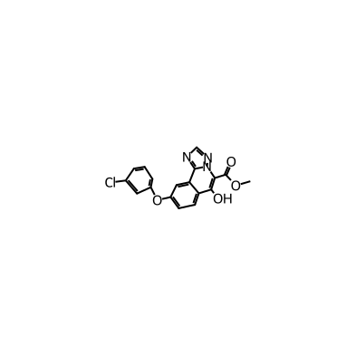 COC(=O)c1c(O)c2ccc(Oc3cccc(Cl)c3)cc2c2ncnn12